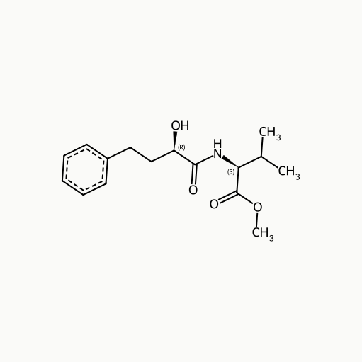 COC(=O)[C@@H](NC(=O)[C@H](O)CCc1ccccc1)C(C)C